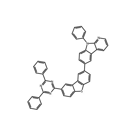 c1ccc(-c2nc(-c3ccccc3)nc(-c3ccc4sc5ccc(-c6ccc7c(c6)c6cccnc6n7-c6ccccc6)cc5c4c3)n2)cc1